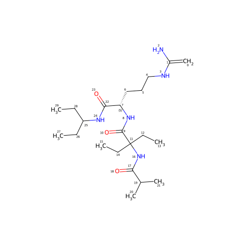 C=C(N)NCCC[C@H](NC(=O)C(CC)(CC)NC(=O)C(C)C)C(=O)NC(CC)CC